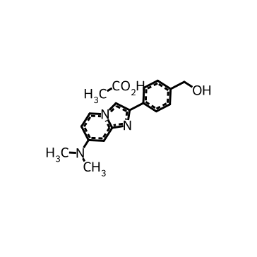 CC(=O)O.CN(C)c1ccn2cc(-c3ccc(CO)cc3)nc2c1